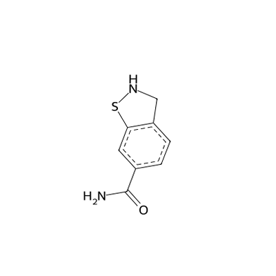 NC(=O)c1ccc2c(c1)SNC2